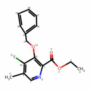 CCOC(=O)c1ncc(C)c(F)c1OCc1ccccc1